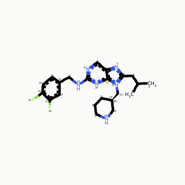 CC(C)Cc1nc2cnc(NCc3ccc(F)c(F)c3)nc2n1C[C@@H]1CCCNC1